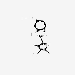 CC(=O)c1c(C)[nH]c(-c2nc3ccc(C(=O)O)cc3[nH]2)c1C